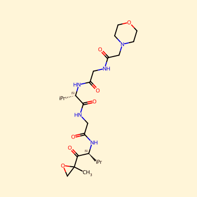 CC(C)[C@H](NC(=O)CNC(=O)CN1CCOCC1)C(=O)NCC(=O)N[C@H](C(=O)C1(C)CO1)C(C)C